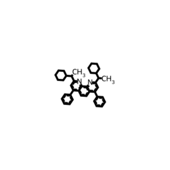 CC(c1cc(-c2ccccc2)c2ccc3c(-c4ccccc4)cc(C(C)C4CCCCC4)nc3c2n1)C1CCCCC1